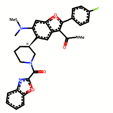 CNC(=O)c1c(-c2ccc(F)cc2)oc2cc(N(C)SC)c([C@@H]3CCCN(C(=O)c4nc5ccccc5o4)C3)cc12